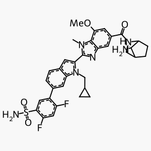 COc1cc(C(=O)N2CC3CCC2[C@@H]3N)cc2nc(-c3cc4ccc(-c5cc(S(N)(=O)=O)c(F)cc5F)cc4n3CC3CC3)n(C)c12